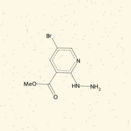 COC(=O)c1cc(Br)cnc1NN